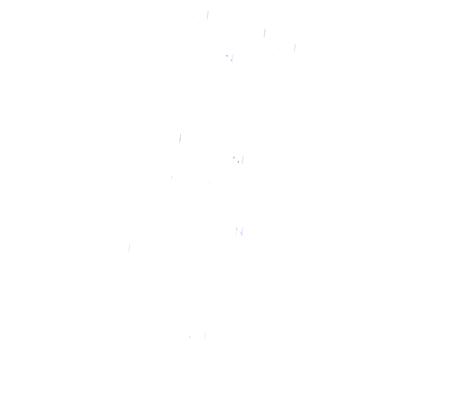 CCc1onc(C(=O)NC(C)(C)C(CC)(CC)N(C)CC)c1C